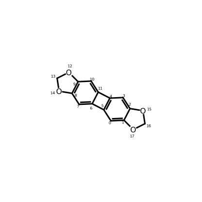 c1c2c(cc3c1-c1cc4c(cc1-3)OCO4)OCO2